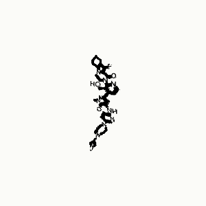 Cn1nc(-c2ccnc(N3CCn4c5c(c(F)c4C3=O)CCCC5)c2CO)cc(Nc2ccc(N3CCN(C4COC4)CC3)cn2)c1=O